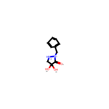 O=C1N(Cc2ccccc2)NCC1(O)O